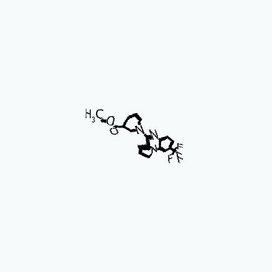 CCOC(=O)C1CCCN(c2nc3ccc(C(F)(F)F)cc3n3cccc23)C1